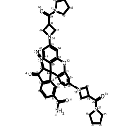 [N-]=[N+]=C1C(=O)c2ccc(C(N)=O)cc2C12c1ccc(N3CC(C(=O)N4CCCC4)C3)cc1Oc1cc(N3CC(C(=O)N4CCCC4)C3)ccc12